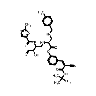 Cc1ccc(CNC[C@H](NC[C@H](NC(=O)c2cnc(C)s2)[C@@H](O)C=O)C(=O)Oc2cccc(C=C(C#N)C(=O)NC(C)(C)C)c2)cc1